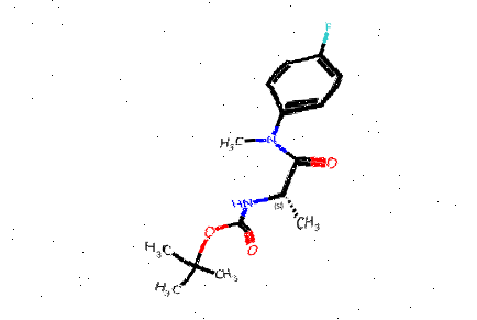 C[C@H](NC(=O)OC(C)(C)C)C(=O)N(C)c1ccc(F)cc1